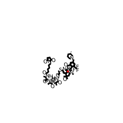 CC(NC(=O)CCCCCN1C(=O)C=CC1=O)C(=O)NC(C)C(=O)NC(C)C(=O)NCOCCSc1cc(C2(Cc3nncn3C)COC2)cc(N2Cc3c(cc(CN4CCC[C@H](C)C4)cc3C(F)(F)F)C2=O)n1